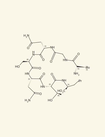 CC[C@H](C)[C@H](N)C(=O)NCC(=O)N[C@@H](CC(N)=O)C(=O)N[C@H](CO)C(=O)N[C@@H](CC(N)=O)C(=O)N[C@H](C(=O)N[C@@H](CC(C)C)C(=O)O)[C@@H](C)O